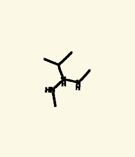 CN[SiH](NC)C(C)C